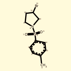 Cc1ccc(S(=O)(=O)N2CCC(Br)C2)cc1